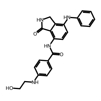 O=C(Nc1ccc(Nc2ccccc2)c2c1C(=O)NC2)c1ccc(NCCO)cc1